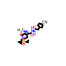 Cn1nc(C(=O)NNC(=O)Cc2ccc(C#N)cc2)c2c1C(=O)N(CC1(S(=O)(=O)C3CC3)CC1)CC2